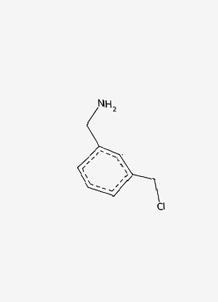 NCc1[c]c(CCl)ccc1